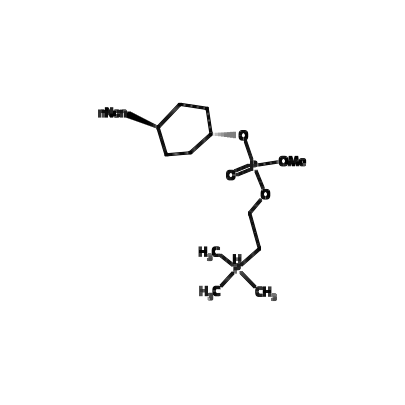 CCCCCCCCC[C@H]1CC[C@H](OP(=O)(OC)OCC[PH](C)(C)C)CC1